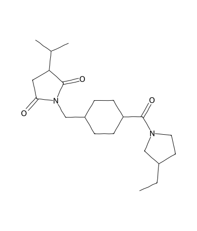 CCC1CCN(C(=O)C2CCC(CN3C(=O)CC(C(C)C)C3=O)CC2)C1